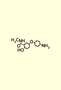 CNC(=O)c1cc(Oc2ccc(N)cc2)ccc1O